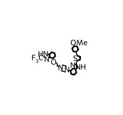 COc1ccc(-c2ccc(-c3nc4c(N5CCN(CCOc6cccc7[nH]c(C(F)(F)F)nc67)CC5)cccc4[nH]3)s2)cc1